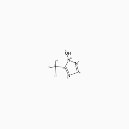 CC(C)(C)c1ncnn1O